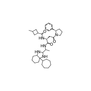 CC1CC(C(=O)N[C@@H](CC(=O)N2CCC[C@@H]2c2ccccc2)C(=O)NC(C)C2NC3CCCCC3(C3CCCCCC3)N2)C1